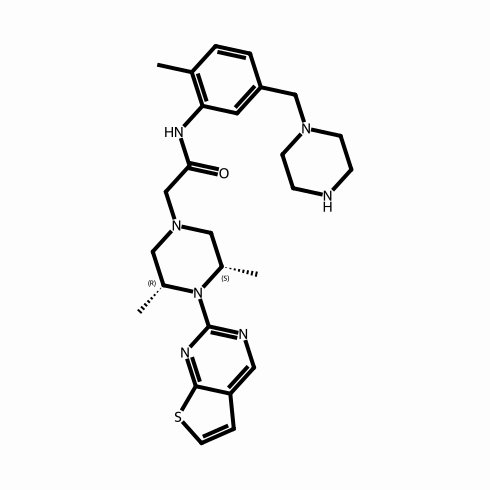 Cc1ccc(CN2CCNCC2)cc1NC(=O)CN1C[C@@H](C)N(c2ncc3ccsc3n2)[C@@H](C)C1